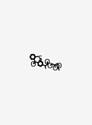 CC1OCC(COC(=O)C(C)c2ccc3c(c2)SCc2ccccc2C3=O)O1